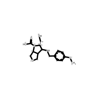 COc1ccc(CNC2C3COCC3N(C(=O)O)[C@@H]2CO)cc1